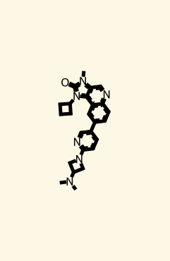 CN(C)C1CN(c2ccc(-c3ccc4ncc5c(c4c3)n(C3CCC3)c(=O)n5C)cn2)C1